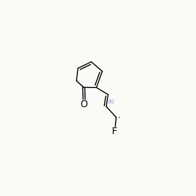 O=C1CC=CC=C1/C=C/[CH]F